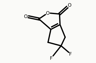 O=C1OC(=O)C2=C1CC(F)(F)C2